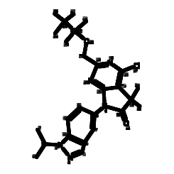 CC(C)n1ncc2cc(N3C(=O)C(C)(C)c4c(Cl)nc(CO[Si](C)(C)C(C)(C)C)nc43)ccc21